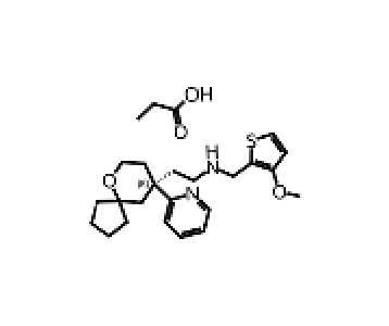 CCC(=O)O.COc1ccsc1CNCC[C@@]1(c2ccccn2)CCOC2(CCCC2)C1